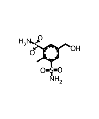 Cc1c(S(N)(=O)=O)cc(CO)cc1S(N)(=O)=O